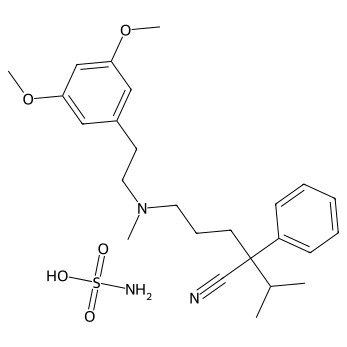 COc1cc(CCN(C)CCCC(C#N)(c2ccccc2)C(C)C)cc(OC)c1.NS(=O)(=O)O